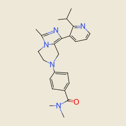 Cc1nc(-c2cccnc2C(C)C)c2n1CCN(c1ccc(C(=O)N(C)C)cc1)C2